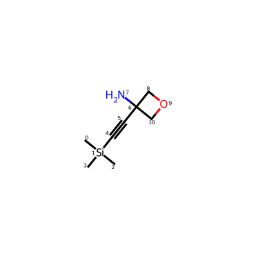 C[Si](C)(C)C#CC1(N)COC1